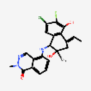 CC=C1CC(O)(C(F)(F)F)C(Nc2cccc3c(=O)n(C)ncc23)c2cc(Cl)c(F)c(O)c21